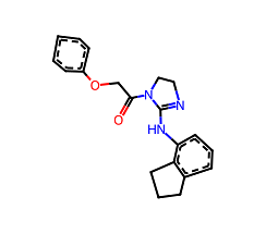 O=C(COc1ccccc1)N1CCN=C1Nc1cccc2c1CCC2